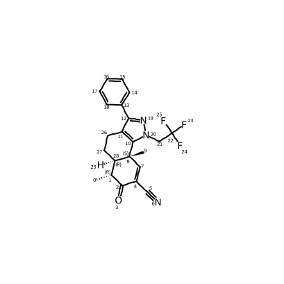 C[C@H]1C(=O)C(C#N)=C[C@@]2(C)c3c(c(-c4ccccc4)nn3CC(F)(F)F)CC[C@H]12